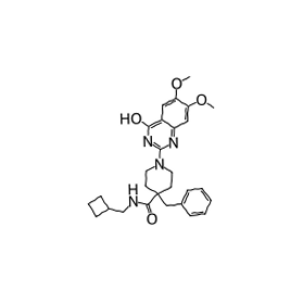 COc1cc2nc(N3CCC(Cc4ccccc4)(C(=O)NCC4CCC4)CC3)nc(O)c2cc1OC